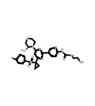 C[C@H]1COCCN1c1cc(C2(S(=O)(=O)c3ccc(F)cc3)CC2)nc(-c2ccc(NC(=O)NCCO)nc2)n1